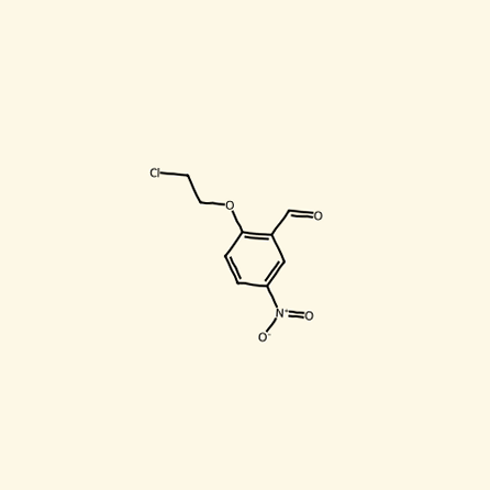 O=Cc1cc([N+](=O)[O-])ccc1OCCCl